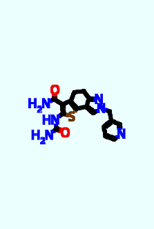 NC(=O)Nc1sc2c(c1C(N)=O)CCc1nn(Cc3cccnc3)cc1-2